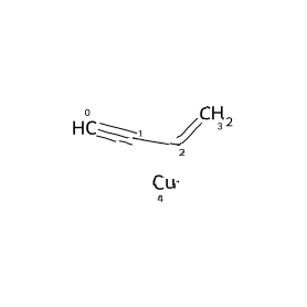 C#CC=C.[Cu]